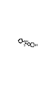 S=C(Nc1ccccc1)C1CC2(CCNCC2)C1